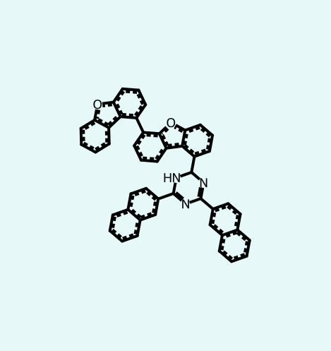 c1ccc2cc(C3=NC(c4cccc5oc6c(-c7cccc8oc9ccccc9c78)cccc6c45)NC(c4ccc5ccccc5c4)=N3)ccc2c1